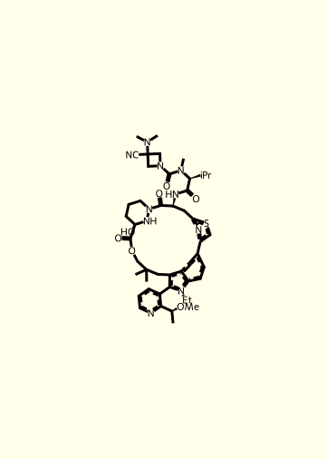 CCn1c(-c2cccnc2[C@H](C)OC)c2c3cc(ccc31)-c1csc(n1)C[C@H](NC(=O)[C@H](C(C)C)N(C)C(=O)N1CC(C#N)(N(C)C)C1)C(=O)N1CCC[C@@](O)(N1)C(=O)OCC(C)(C)C2